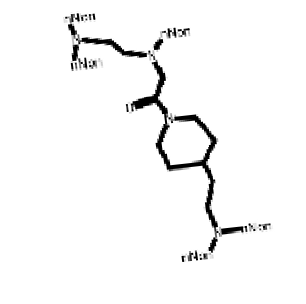 CCCCCCCCCN(CCCCCCCCC)CCC1CCN(C(=O)CN(CCCCCCCCC)CCN(CCCCCCCCC)CCCCCCCCC)CC1